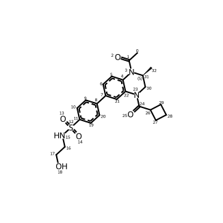 CC(=O)N1c2ccc(-c3ccc(S(=O)(=O)NCCO)cc3)cc2N(C(=O)C2CCC2)C[C@@H]1C